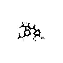 COc1cc(C(=O)c2c(C)c(C(=O)O)c3cc(NC(C)=O)ccn23)ccc1N